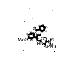 CCCCCC(NC(=O)Cc1c(C)n(C(=O)c2ccccc2)c2ccc(OC)cc12)C(=O)N(CC)CC